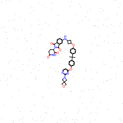 CC(C)(c1ccc(Oc2ccnc(N3CC4(COC4)C3)n2)cc1)c1ccc(OC2CC(Nc3ccc4c(c3)C(=O)N(C3CCC(=O)NC3=O)C4=O)C2)cc1